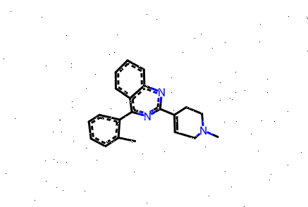 Cc1ccccc1-c1nc(C2=CCN(C)CC2)nc2ccccc12